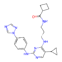 O=C(NCCCNc1nc(Nc2ccc(-n3cncn3)cc2)ncc1C1CC1)C1CCC1